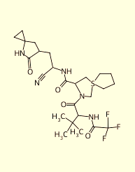 CC(C)(C)C(NC(=O)C(F)(F)F)C(=O)N1CS2(CCCC2)CC1C(=O)NC(C#N)CC1CC2(CC2)NC1=O